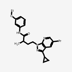 CCOc1cccc(NC(=O)C(C)CCn2nc(C3CC3)c3cc(C(C)C)cnc32)c1